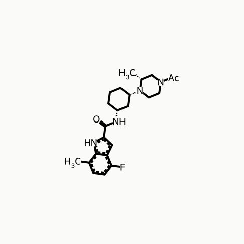 CC(=O)N1CCN([C@H]2CCC[C@@H](NC(=O)c3cc4c(F)ccc(C)c4[nH]3)C2)[C@H](C)C1